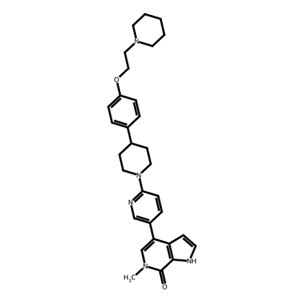 Cn1cc(-c2ccc(N3CCC(c4ccc(OCCN5CCCCC5)cc4)CC3)nc2)c2cc[nH]c2c1=O